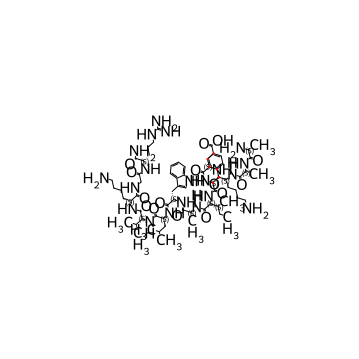 CC[C@H](C)[C@H](NC(=O)[C@H](Cc1ccccc1)NC(=O)[C@H](CCC(=O)O)NC(=O)[C@H](CCCCN)NC(=O)[C@H](C)NC(=O)[C@H](C)N)C(=O)N[C@@H](C)C(=O)N[C@@H](Cc1c[nH]c2ccccc12)C(=O)N[C@@H](CC(C)C)C(=O)N[C@H](C(=O)N[C@@H](CCCCN)C(=O)NCC(=O)N[C@@H](CCCNC(=N)N)C(N)=O)C(C)C